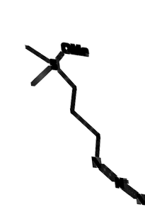 CO[Si](C)(C)CCCN=[N+]=[N-]